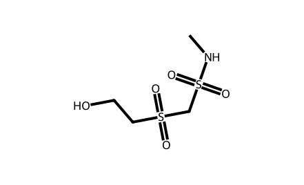 CNS(=O)(=O)CS(=O)(=O)CCO